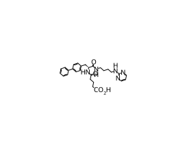 O=C(O)CCCC(=O)N[C@@H](Cc1ccc(-c2ccccc2)cc1)C(=O)NCCCCNc1ncccn1